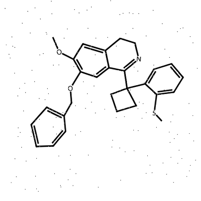 COc1cc2c(cc1OCc1ccccc1)C(C1(c3ccccc3SC)CCC1)=NCC2